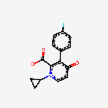 O=C(O)c1c(-c2ccc(F)cc2)c(=O)ccn1C1CC1